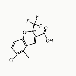 Cc1c(Cl)ccc2c1C=C(C(=O)O)[C@H](C(F)(F)F)O2